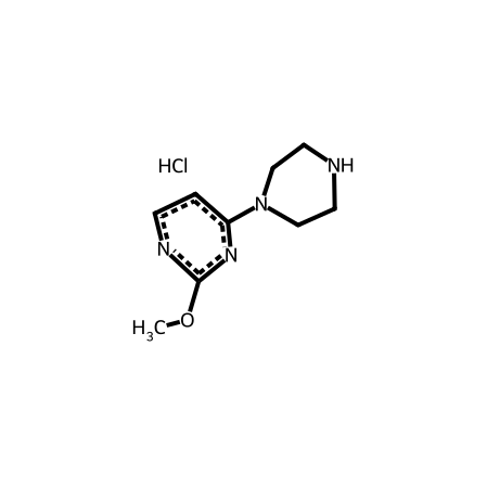 COc1nccc(N2CCNCC2)n1.Cl